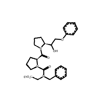 CCOC(=O)CN(Cc1ccccc1)C(=O)N1CCC[C@H]1C(=O)N1CCC[C@H]1C(O)COc1ccccc1